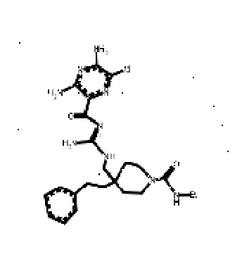 CCNC(=O)N1CCC(CCc2ccccc2)(CN/C(N)=N/C(=O)c2nc(Cl)c(N)nc2N)CC1